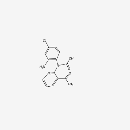 CC(=O)c1cccnc1N(C(=O)O)c1ccc(Cl)cc1N